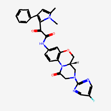 Cc1cc(-c2ccccc2)c(C(=O)C(=O)Nc2ccc3c(c2)OC[C@@H]2CN(c4ncc(F)cn4)CC(=O)N32)n1C